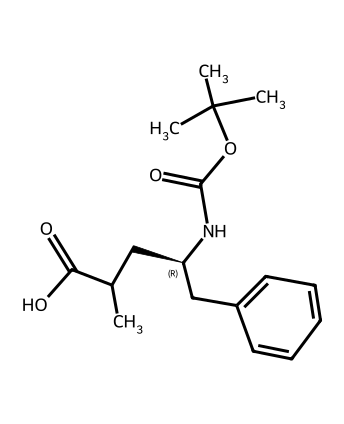 CC(C[C@H](Cc1ccccc1)NC(=O)OC(C)(C)C)C(=O)O